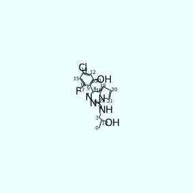 CC(O)CNc1nnc(-c2c(O)cc(Cl)cc2F)c2cccn12